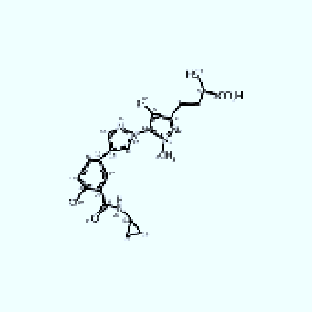 Cn1nc(CCC(S)C(=O)O)c(Br)c1-n1cc(-c2ccc(Cl)c(C(=O)NC3CC3)c2)cn1